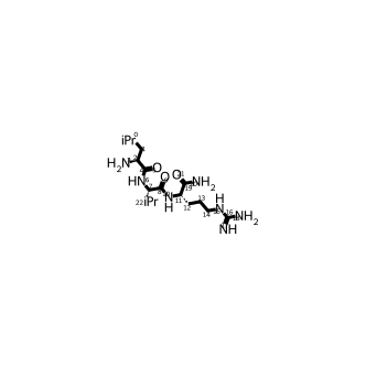 CC(C)C[C@H](N)C(=O)N[C@H](C(=O)N[C@@H](CCCNC(=N)N)C(N)=O)C(C)C